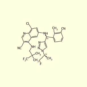 Cc1c(C#N)cccc1[C@H](Nc1cc(Cl)c2ncc(C#N)c(NCC(C)(C)C(F)(F)F)c2c1)c1cn([C@@H](C)CF)nn1